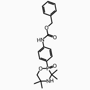 CC1(C)COP(=O)(c2ccc(NC(=O)OCc3ccccc3)cc2)C(C)(C)N1